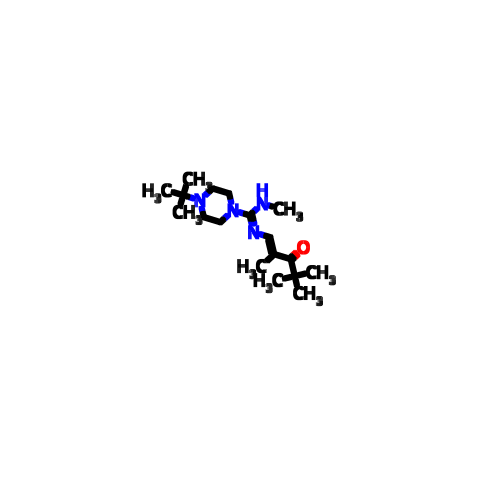 CN/C(=N\C=C(/C)C(=O)C(C)(C)C)N1CCN(C(C)(C)C)CC1